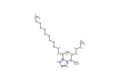 CCCCCCCCCCCCC(C)c1nccn1C(C)CCCCC